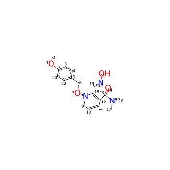 COc1ccc(CON2CC=CC(C(=O)N(C)C)=C2C=NO)cc1